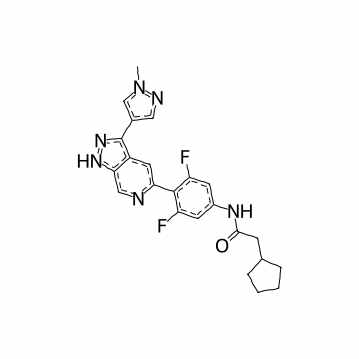 Cn1cc(-c2n[nH]c3cnc(-c4c(F)cc(NC(=O)CC5CCCC5)cc4F)cc23)cn1